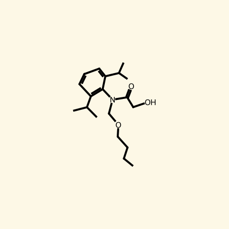 CCCCOCN(C(=O)CO)c1c(C(C)C)cccc1C(C)C